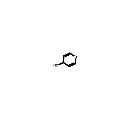 OC1C=COC=C1